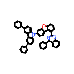 c1ccc(-c2ccc3c(c2)c2cc(-c4ccccc4)ccc2n3-c2ccc3c(c2)oc2cccc(-c4nc(-c5ccccc5)c5ccccc5n4)c23)cc1